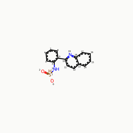 O=[SH](=O)Nc1ccccc1-c1ccc2ccccc2n1